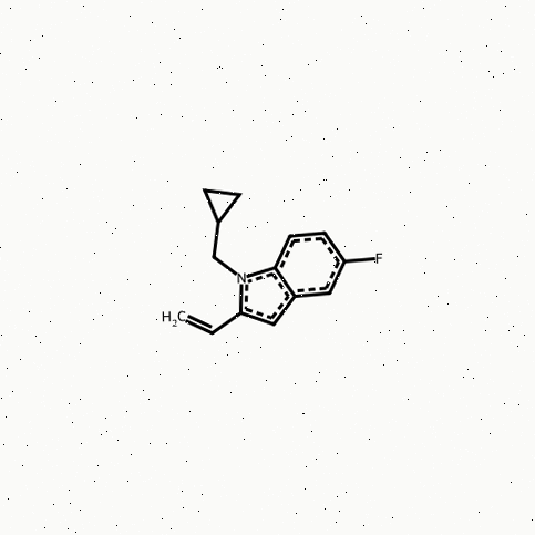 C=Cc1cc2cc(F)ccc2n1CC1CC1